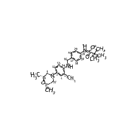 Cc1cc(N2C[C@@H](C)O[C@@H](C)C2)ccc1NCc1ccc(NS(=O)(=O)C(C)(C)C)cc1